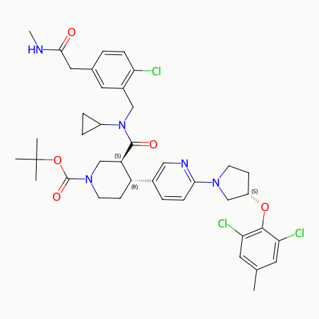 CNC(=O)Cc1ccc(Cl)c(CN(C(=O)[C@@H]2CN(C(=O)OC(C)(C)C)CC[C@H]2c2ccc(N3CC[C@H](Oc4c(Cl)cc(C)cc4Cl)C3)nc2)C2CC2)c1